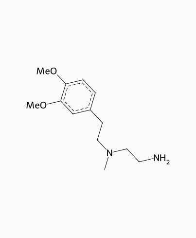 COc1ccc(CCN(C)CCN)cc1OC